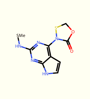 CSNc1nc(N2SCOC2=O)c2cc[nH]c2n1